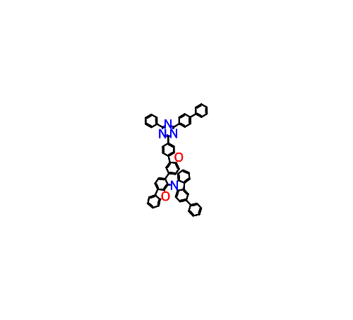 c1ccc(-c2ccc(-c3nc(-c4ccccc4)nc(-c4ccc5c(c4)oc4ccc(-c6ccc7c(oc8ccccc87)c6-n6c7ccccc7c7cc(-c8ccccc8)ccc76)cc45)n3)cc2)cc1